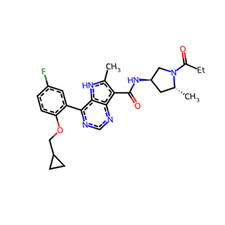 CCC(=O)N1C[C@H](NC(=O)c2c(C)[nH]c3c(-c4cc(F)ccc4OCC4CC4)ncnc23)C[C@H]1C